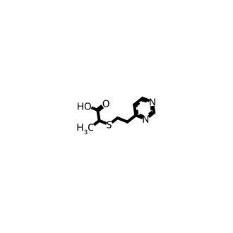 CC(SCCc1ccncn1)C(=O)O